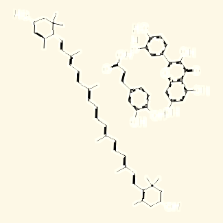 CC1=C[C@H](O)CC(C)(C)[C@H]1/C=C/C(C)=C/C=C/C(C)=C/C=C/C=C(C)/C=C/C=C(C)/C=C/C1=C(C)C[C@@H](O)CC1(C)C.O=C(O)/C=C/c1ccc(O)c(O)c1.O=c1c(O)c(-c2ccc(O)c(O)c2)oc2cc(O)cc(O)c12